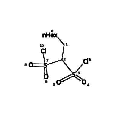 CCCCCCCC(S(=O)(=O)Cl)S(=O)(=O)Cl